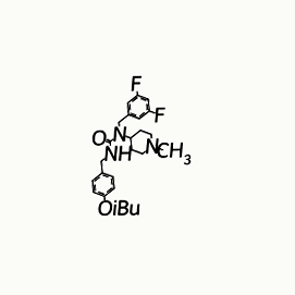 CC(C)COc1ccc(CNC(=O)N(Cc2cc(F)cc(F)c2)C2CCN(C)CC2)cc1